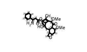 CO[C@H]1C(=O)C2C(C[C@]3(O)C[C@H](OC(=O)C[C@@H](N)c4ccccc4)C(C)=C1C3(C)C)C1COC1C[C@@H]2OC